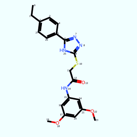 CCc1ccc(-c2nnc(SCC(=O)Nc3cc(OC)cc(OC)c3)[nH]2)cc1